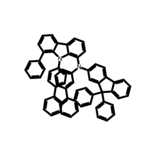 c1ccc(-c2ccc(-n3c4c(-c5ccccc5)cccc4c4cccc(N(c5cccc(-c6ccccc6)c5)c5ccc6c(c5)C(c5ccccc5)(c5ccccc5)c5ccccc5-6)c43)cc2)cc1